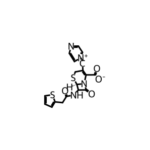 O=C(Cc1cccs1)NC1C(=O)N2C(C(=O)[O-])=C(C[n+]3ccncc3)CS[C@H]12